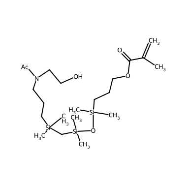 C=C(C)C(=O)OCCC[Si](C)(C)O[Si](C)(C)C[Si](C)(C)CCCN(CCO)C(C)=O